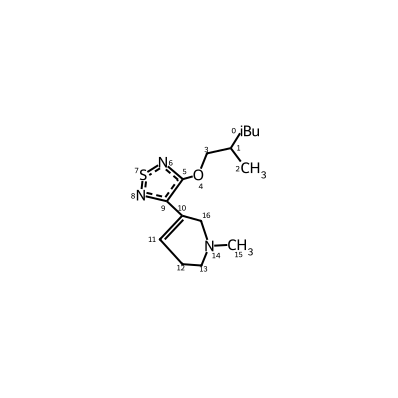 CCC(C)C(C)COc1nsnc1C1=CCCN(C)C1